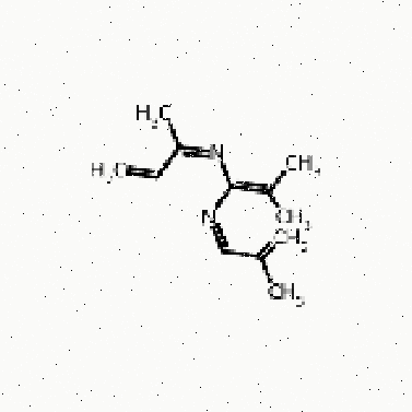 C=C/C(C)=N\C(/N=C\C(=C)C)=C(C)C